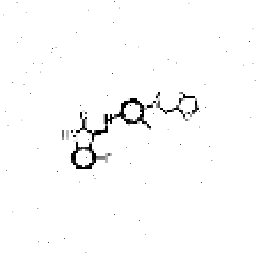 Cc1cc(NC=C2C(=O)Nc3cccc(F)c32)ccc1N(C)CC1OCCO1